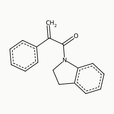 C=C(C(=O)N1CCc2ccccc21)c1ccccc1